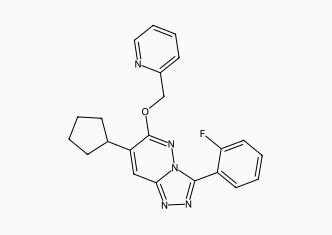 Fc1ccccc1-c1nnc2cc(C3CCCC3)c(OCc3ccccn3)nn12